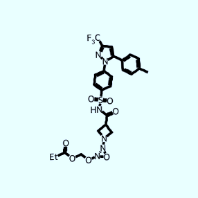 CCC(=O)OCOn1on1N1CC(C(=O)NS(=O)(=O)c2ccc(-n3nc(C(F)(F)F)cc3-c3ccc(C)cc3)cc2)C1